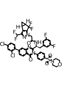 O=C(Cn1nc(C(F)F)c2c1C(F)(F)[C@@H]1C[C@H]21)N[C@@H](Cc1cc(F)cc(F)c1)c1nc2cc(-c3ccc(Cl)cc3Cl)ccc2c(=O)n1-c1ccc(S(=O)(=O)N2CCOCC2)cc1